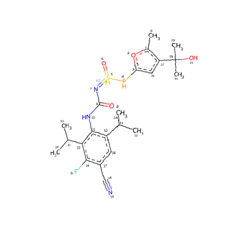 Cc1oc(P/[SH](=O)=N\C(=O)Nc2c(C(C)C)cc(C#N)c(F)c2C(C)C)cc1C(C)(C)O